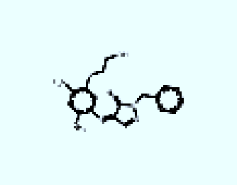 N=C1C(=Nc2cc(OCCO)c(N)cc2N)C=NN1Cc1ccccc1